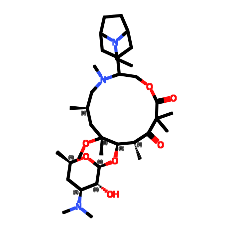 CCN1C2CCC1CC(C1COC(=O)C(C)(C)C(=O)[C@H](C)[C@@H](O[C@@H]3O[C@H](C)C[C@H](N(C)C)[C@H]3O)[C@](C)(OC)C[C@@H](C)CN1C)C2